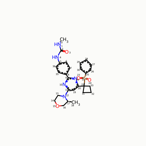 CNC(=O)Nc1ccc(-c2nc(N3CCOC[C@@H]3C)cc(C3(S(=O)(=O)c4ccccc4)CCC3)n2)cc1